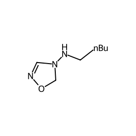 CCCCCNN1C=NOC1